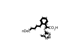 CCCCCCCCCCCCCCc1ccccc1C(Sc1nnnn1C)C(=O)O